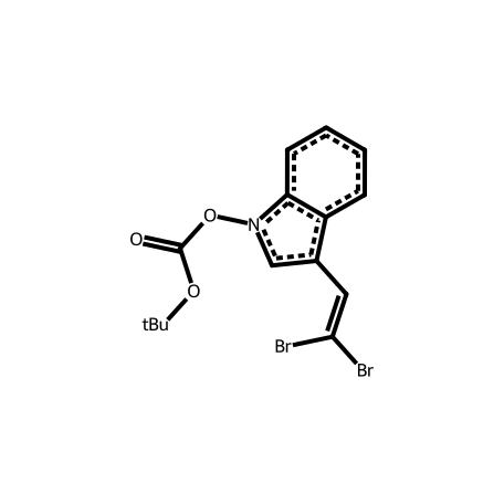 CC(C)(C)OC(=O)On1cc(C=C(Br)Br)c2ccccc21